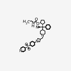 CCNC(=O)O[C@@H]1CCC[C@H]1C(C#N)(c1ccccc1)C1CCN(CC2CN(c3ccc(S(=O)(=O)c4ccncc4)cc3)C2)CC1